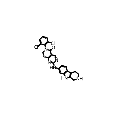 O=C1c2cnc(Nc3ccc4c5c([nH]c4c3)CNCC5)nc2SCN1c1c(Cl)cccc1Cl